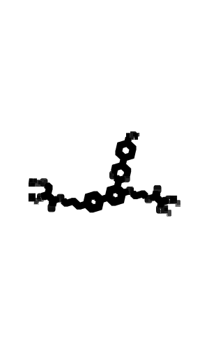 C=C(C)C(=O)OCCOc1ccc(-c2ccc(CCCOC(=O)C(=C)COC)cc2)cc1C1OCC(C2CCC(CCC)CC2)CO1